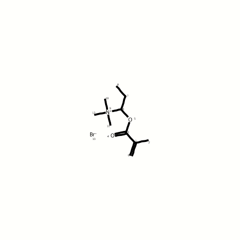 C=C(C)C(=O)OC(CC)[N+](C)(C)C.[Br-]